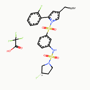 CNCc1cc(-c2ccccc2F)n(S(=O)(=O)c2cccc(NS(=O)(=O)N3CC[C@H](F)C3)c2)c1.O=C(O)C(F)(F)F